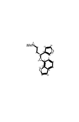 CNCC[C@H](Oc1cccc2ccoc12)c1ccoc1